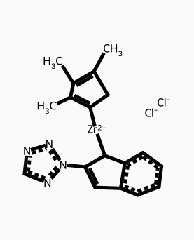 CC1=C(C)C(C)=[C]([Zr+2][CH]2C(n3ncnn3)=Cc3ccccc32)C1.[Cl-].[Cl-]